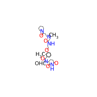 Cc1c(OCCNC(=O)CN(C)CCC(=O)N2CCCCC2)cccc1C(=O)N(C=O)C1CCC(=O)NC1=O